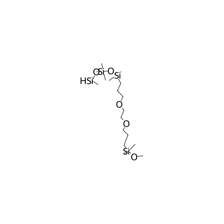 CO[Si](C)(C)CCCOCCOCCC[Si](C)(C)O[Si](C)(C)O[SiH](C)C